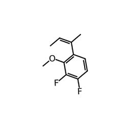 C/C=C(/C)c1ccc(F)c(F)c1OC